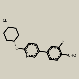 O=Cc1ccc(-c2ccc(O[C@H]3CC[C@@H](Cl)CC3)nc2)cc1F